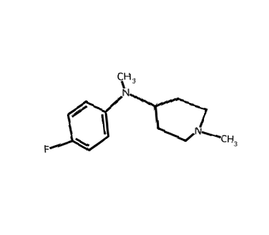 CN1CCC(N(C)c2ccc(F)cc2)CC1